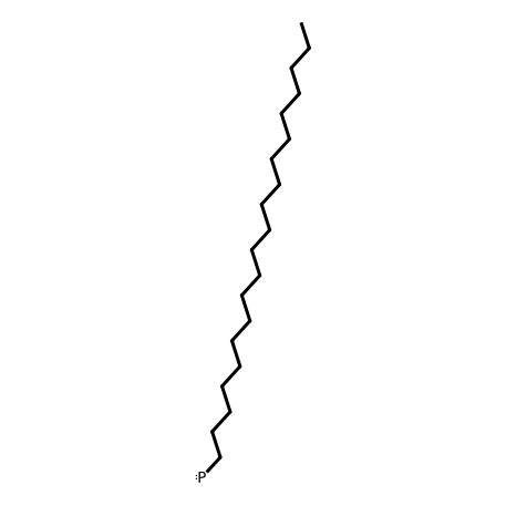 CCCCCCCCCCCCCCCCCCCC[P]